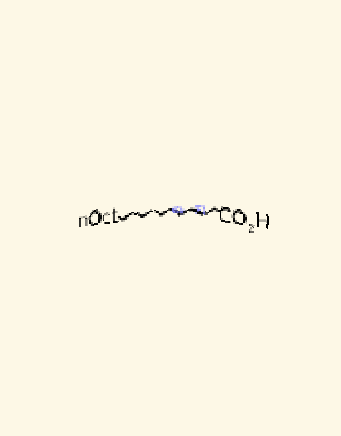 CCCCCCCCCCCCC/C=C/C=C/CC(=O)O